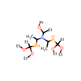 CCOC(CC)(OCC)PC(C)N(C(CC)OC(C)C)C(C)PC(CC)(OCC)OCC